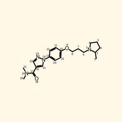 CC1CCCN1CCCOc1ccc(-n2cc(C(=O)N(C)C)cn2)cc1